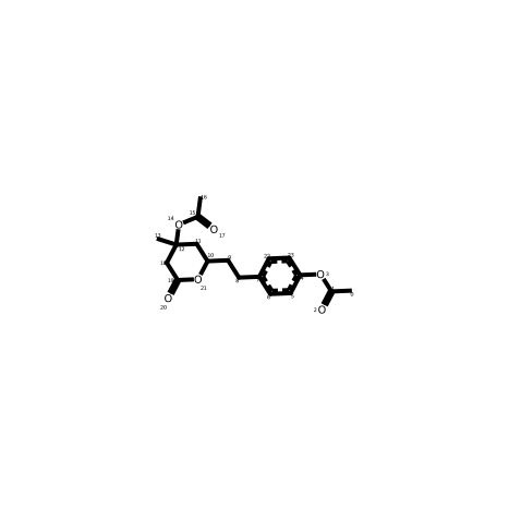 CC(=O)Oc1ccc(CCC2CC(C)(OC(C)=O)CC(=O)O2)cc1